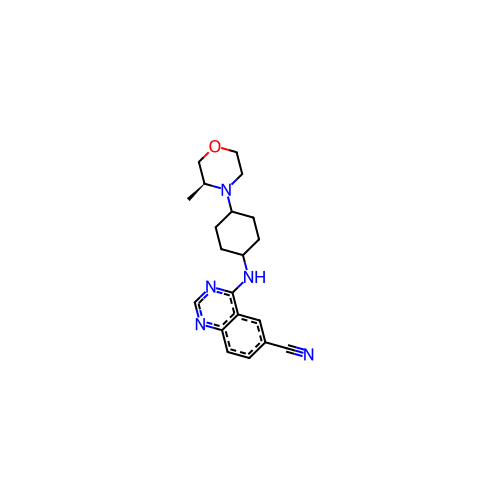 C[C@H]1COCCN1C1CCC(Nc2ncnc3ccc(C#N)cc23)CC1